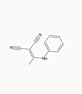 CC(Nc1ccccc1)=C(C#N)C#N